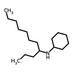 CCCCCCCC(CCC)NC1CCCCC1